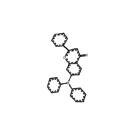 O=c1cc(-c2ccccc2)oc2cc(N(c3ccccc3)c3ccccc3)ccc12